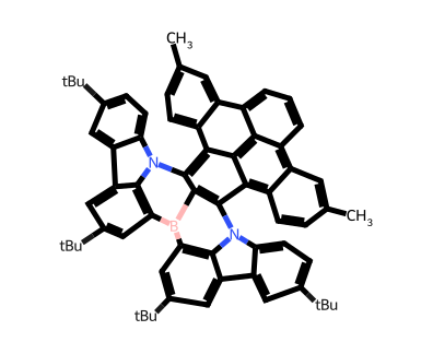 Cc1ccc2c(c1)c1cccc3c4cc(C)ccc4c4c5c6c(c2c4c13)-n1c2ccc(C(C)(C)C)cc2c2cc(C(C)(C)C)cc(c21)B6c1cc(C(C)(C)C)cc2c3cc(C(C)(C)C)ccc3n-5c12